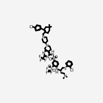 CN(C)CC[C@H](CSc1ccccc1Cl)Nc1ccc(S(=O)(=O)Nc2nc(C(F)(F)F)nc3c2CCN(C2CCN(CC4=C(c5ccc(Cl)cc5)CC(C)(C)CC4)CC2)C3)cc1S(=O)(=O)C(F)(F)F